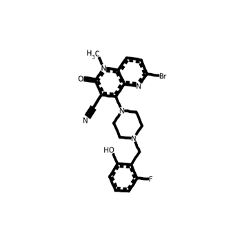 Cn1c(=O)c(C#N)c(N2CCN(Cc3c(O)cccc3F)CC2)c2nc(Br)ccc21